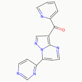 O=C(c1ccccn1)c1cnn2c(-c3ccncn3)ccnc12